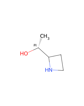 C[C@@H](O)C1CCN1